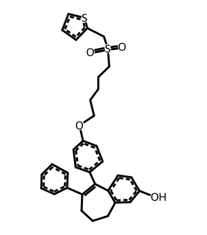 O=S(=O)(CCCCCOc1ccc(C2=C(c3ccccc3)CCCc3cc(O)ccc32)cc1)Cc1cccs1